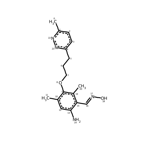 Cc1ccc(CCCOc2c(C)cc(N)c(C=NO)c2C)nn1